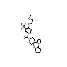 CO[C@H](C)COc1ccc(C(=O)N2CCC3(CC2)Oc2ccccc2-n2cccc23)cc1C(F)(F)F